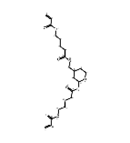 C=CC(=O)OCCCCC(=O)OCC1CCOC(OC(=O)CCCCOC(=O)C=C)C1